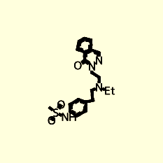 CCN(CCc1ccc(NS(C)(=O)=O)cc1)CCn1ncc2ccccc2c1=O